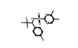 Cc1cnc(S(=O)(=O)NC(c2ccc(F)cc2)C(F)(F)F)nc1C